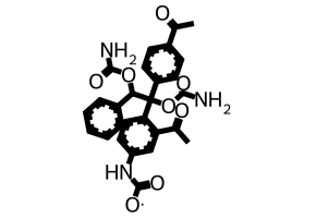 CC(=O)c1ccc(C(OC(N)=O)(c2ccc(NC([O])=O)cc2C(C)=O)C(OC(N)=O)c2ccccc2)cc1